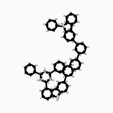 c1ccc(-c2nc(-c3ccccc3)nc(-c3cccc4oc5ccc(-c6ccc7cc(-c8cccc(-c9ccc%10c(c9)c9ccccc9n%10-c9ccccc9)c8)ccc7c6)cc5c34)n2)cc1